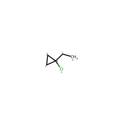 CCC1(Cl)[CH]C1